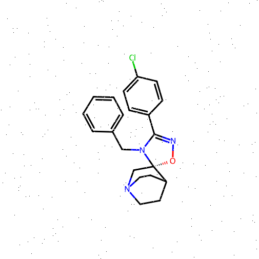 Clc1ccc(C2=NO[C@]3(CN4CCC3CC4)N2Cc2ccccc2)cc1